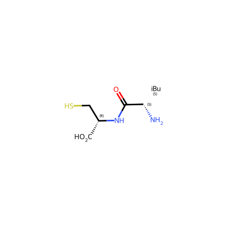 CC[C@H](C)[C@H](N)C(=O)N[C@@H](CS)C(=O)O